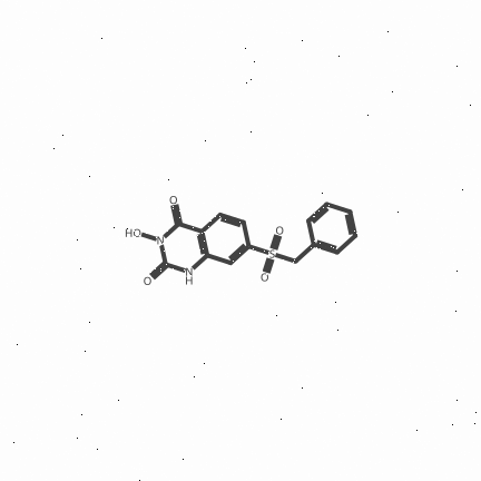 O=c1[nH]c2cc(S(=O)(=O)Cc3ccccc3)ccc2c(=O)n1O